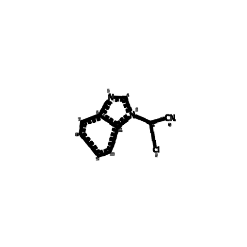 N#CC(Cl)n1cnc2ccccc21